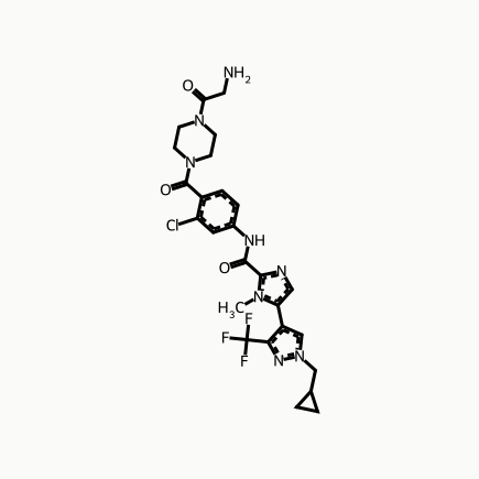 Cn1c(-c2cn(CC3CC3)nc2C(F)(F)F)cnc1C(=O)Nc1ccc(C(=O)N2CCN(C(=O)CN)CC2)c(Cl)c1